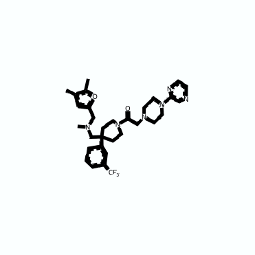 Cc1cc(CN(C)CC2(c3cccc(C(F)(F)F)c3)CCN(C(=O)CN3CCN(c4cnccn4)CC3)CC2)oc1C